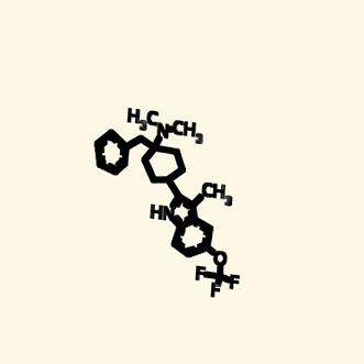 Cc1c(C2CCC(Cc3ccccc3)(N(C)C)CC2)[nH]c2ccc(OC(F)(F)F)cc12